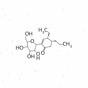 CCC[C@H]1CC(=O)C(C2OC(CO)C(O)C(O)C2O)=C[C@H]1CC